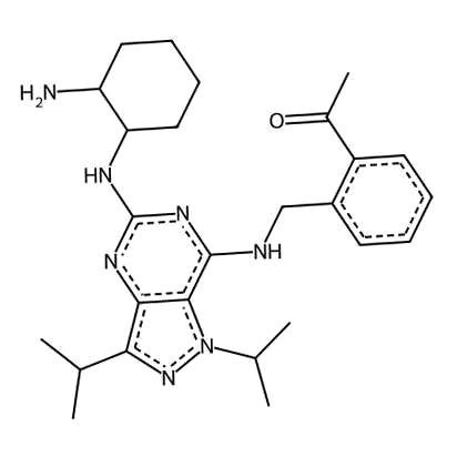 CC(=O)c1ccccc1CNc1nc(NC2CCCCC2N)nc2c(C(C)C)nn(C(C)C)c12